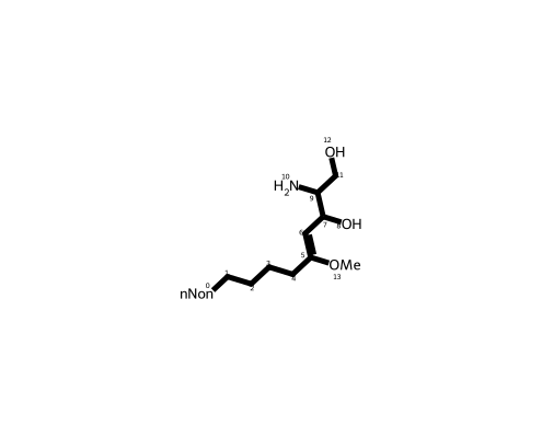 CCCCCCCCCCCCCC(=CC(O)C(N)CO)OC